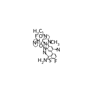 C=CC(=O)N1CCC(N(C)c2nc(OCC34CCCN3CC(F)C4)nc3cc(-c4ccc(F)c5sc(N)c(C#N)c45)c(C#N)cc23)C1C